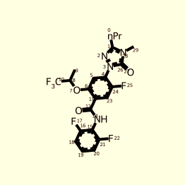 CCCc1nn(-c2cc(OC(C)C(F)(F)F)c(C(=O)Nc3c(F)cccc3F)cc2F)c(=O)n1C